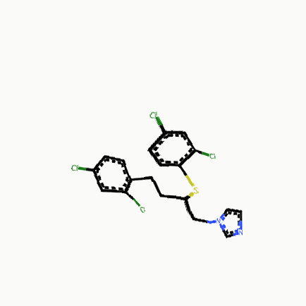 Clc1ccc(CCC(Cn2ccnc2)Sc2ccc(Cl)cc2Cl)c(Cl)c1